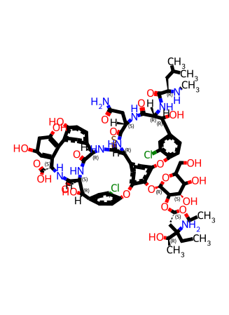 CCO[C@H](CC(N)(CC)[C@@H](C)O)OC1[C@@H](Oc2c3cc4cc2Oc2ccc(cc2Cl)[C@@H](O)[C@@H](NC(=O)[C@@H](CC(C)C)NC)C(=O)N[C@@H](CC(N)=O)C(=O)N[C@H]4C(=S)N[C@H]2C(=O)N[C@H](C(=O)N[C@H](C(=O)O)C4=CC(O)CC(O)=C4c4cc2ccc4O)[C@H](O)c2ccc(c(Cl)c2)O3)OC(CO)C(O)[C@@H]1O